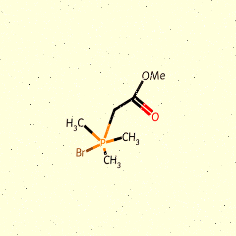 COC(=O)CP(C)(C)(C)Br